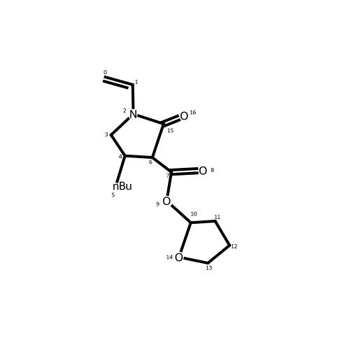 C=CN1CC(CCCC)C(C(=O)OC2CCCO2)C1=O